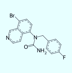 NC(=O)N(Cc1ccc(F)cc1)c1ccc(Br)c2cnccc12